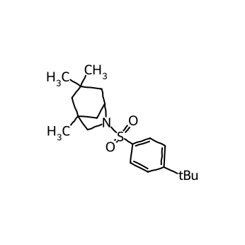 CC1(C)CC2CC(C)(CN2S(=O)(=O)c2ccc(C(C)(C)C)cc2)C1